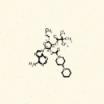 CSC[C@H]1O[C@@H](n2cnc3c(N)ncnc32)[C@H](OC(=O)N2CCC(N3CCCCC3)CC2)[C@@H]1OC(=O)C(C)(C)C